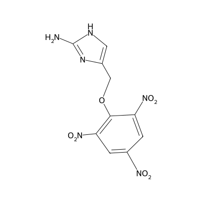 Nc1nc(COc2c([N+](=O)[O-])cc([N+](=O)[O-])cc2[N+](=O)[O-])c[nH]1